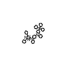 c1ccc(-c2nc(-c3ccccc3)nc(-n3c4ccccc4c4cc(-n5c6ccccc6c6cc([Si](c7ccccc7)(c7ccccc7)c7ccccc7)ccc65)ccc43)n2)cc1